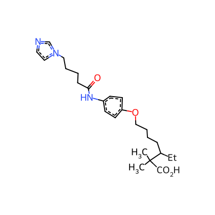 CCC(CCCCOc1ccc(NC(=O)CCCCn2ccnc2)cc1)C(C)(C)C(=O)O